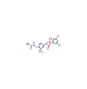 CCC(=O)NCc1ccc(N2CC(c3cc(Cl)cc(Cl)c3)(C(F)(F)F)OC2=O)cc1C(F)(F)F